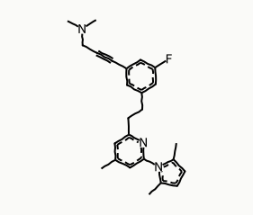 Cc1cc(CCc2cc(F)cc(C#CCN(C)C)c2)nc(-n2c(C)ccc2C)c1